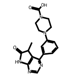 CC1C(=O)Nc2ncnc(-c3cccc(N4CCN(C(=O)O)CC4)c3)c21